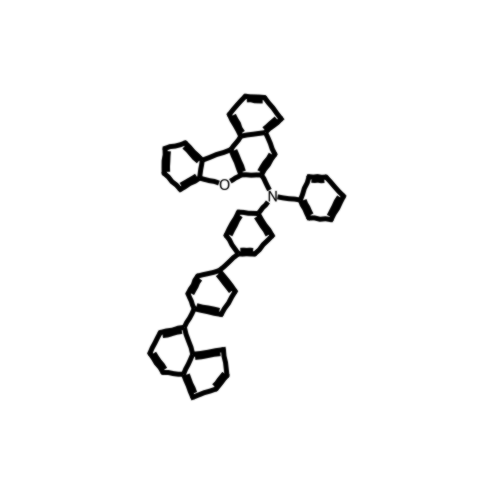 c1ccc(N(c2ccc(-c3ccc(-c4cccc5ccccc45)cc3)cc2)c2cc3ccccc3c3c2oc2ccccc23)cc1